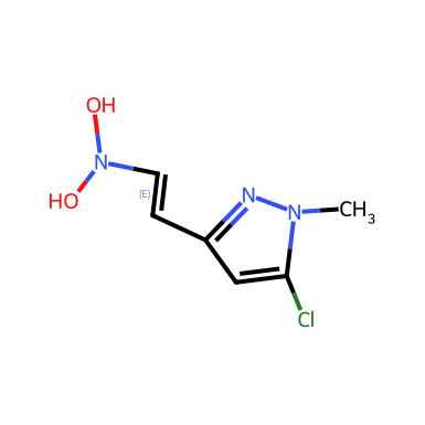 Cn1nc(/C=C/N(O)O)cc1Cl